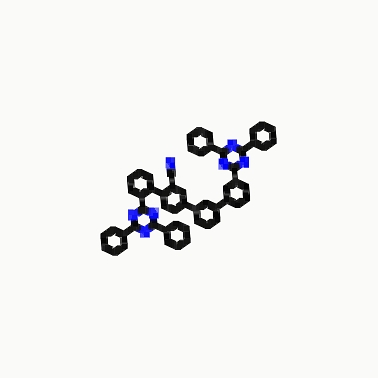 N#Cc1cc(-c2cccc(-c3cccc(-c4nc(-c5ccccc5)nc(-c5ccccc5)n4)c3)c2)ccc1-c1ccccc1-c1nc(-c2ccccc2)nc(-c2ccccc2)n1